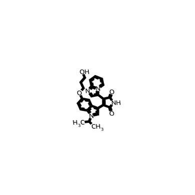 CC(C)n1cc(C2=C(c3cnc4ccccn34)C(=O)NC2=O)c2cc(OCCCO)ccc21